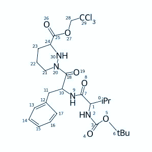 CC(C)C(NC(=O)OC(C)(C)C)C(=O)NC(Cc1ccccc1)C(=O)N1CCCC(C(=O)OCC(Cl)(Cl)Cl)N1